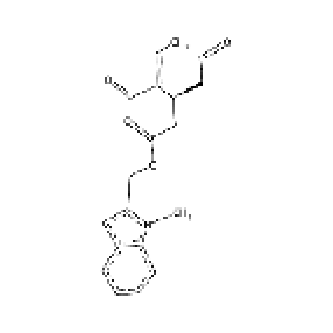 C/C=C(/C=O)[C@@H](CC=O)CC(=O)OCc1cc2ccccc2n1C